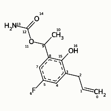 C=CCc1cc(F)cc(C(C)OC(N)=O)c1O